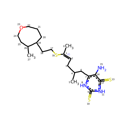 C/C(=C/CC(C)Cc1[nH]c(=S)[nH]c(=S)c1N)SCCC1CCCOCCC1C